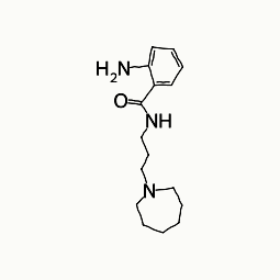 Nc1ccccc1C(=O)NCCCN1CCCCCC1